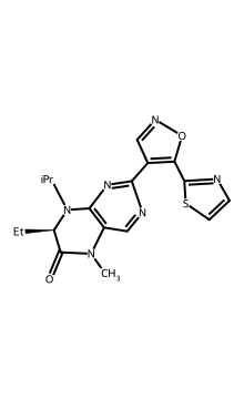 CC[C@@H]1C(=O)N(C)c2cnc(-c3cnoc3-c3nccs3)nc2N1C(C)C